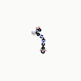 CC1(C)c2ccc(N3CCN(Cc4cnc(N5CCC(c6cc(F)c(N7C(=O)CCCC7=O)c(F)c6)CC5)nc4)CC3)cc2-n2c1nc(=O)c1c(Br)cccc12